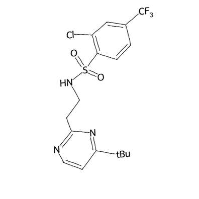 CC(C)(C)c1ccnc(CCNS(=O)(=O)c2ccc(C(F)(F)F)cc2Cl)n1